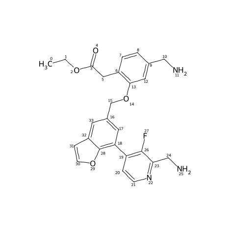 CCOC(=O)Cc1ccc(CN)cc1OCc1cc(-c2ccnc(CN)c2F)c2occc2c1